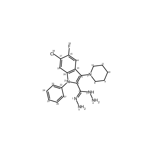 N/N=C(\NN)c1c(N2CCCCC2)c2cc(F)c(Cl)cc2n1-c1ccccc1